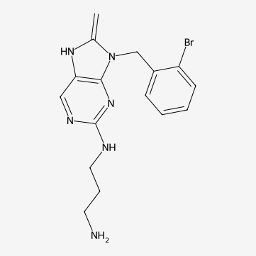 C=C1Nc2cnc(NCCCN)nc2N1Cc1ccccc1Br